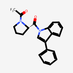 O=C([C@@H]1CCCN1C(=O)C(F)(F)F)n1cc(-c2ccccc2)c2ccccc21